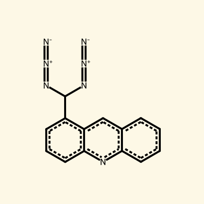 [N-]=[N+]=NC(N=[N+]=[N-])c1cccc2nc3ccccc3cc12